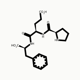 O=C(O)CC[C@@H](NC(=O)[C@H]1CCCN1)C(=O)N[C@@H](Cc1ccccc1)C(=O)O